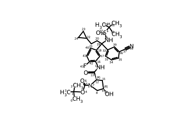 CC(C)(C)OC(=O)N1C[C@H](O)C[C@@H]1C(=O)Nc1cc(C(CCC2CC2)(N[S@+]([O-])C(C)(C)C)c2cccc(C#N)c2)ccc1F